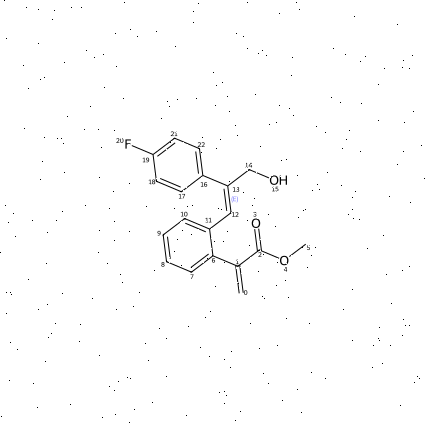 C=C(C(=O)OC)c1ccccc1/C=C(/CO)c1ccc(F)cc1